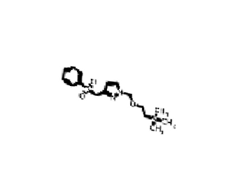 C[Si](C)(C)CCOCn1ccc(CS(=O)(=O)c2ccccc2)n1